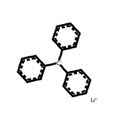 [Li+].c1ccc([C-](c2ccccc2)c2ccccc2)cc1